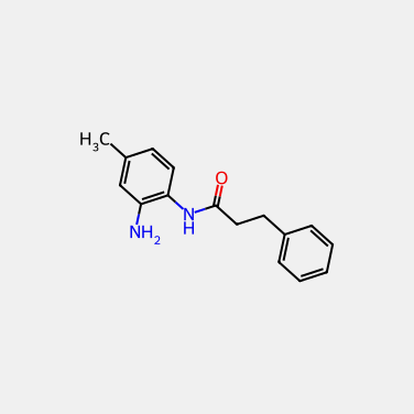 Cc1ccc(NC(=O)CCc2ccccc2)c(N)c1